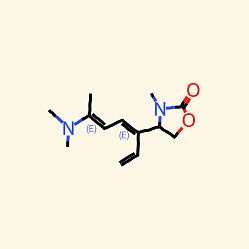 C=C/C(=C\C=C(/C)N(C)C)C1COC(=O)N1C